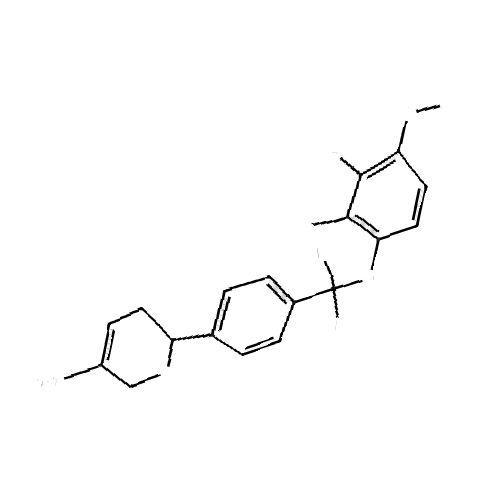 CCCC1=CCC(c2ccc(C(F)(F)Oc3ccc(OCC)c(F)c3F)cc2)OC1